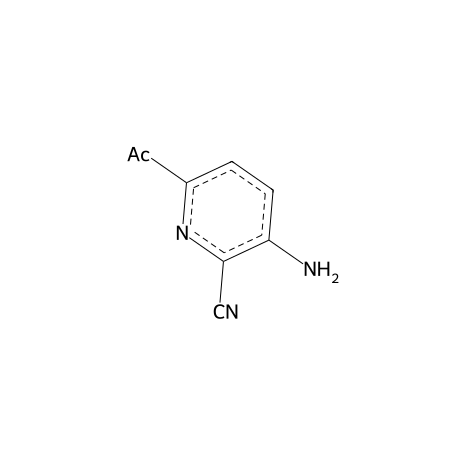 CC(=O)c1ccc(N)c(C#N)n1